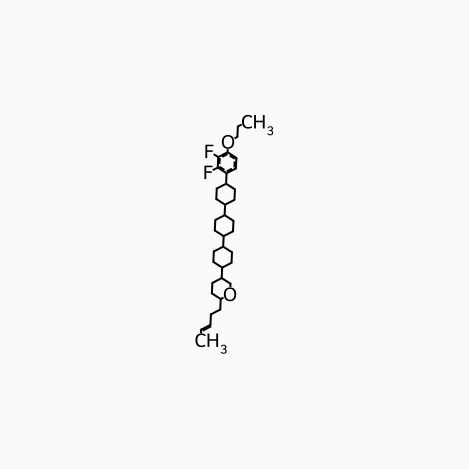 C/C=C/CCC1CCC(C2CCC(C3CCC(C4CCC(c5ccc(OCCC)c(F)c5F)CC4)CC3)CC2)CO1